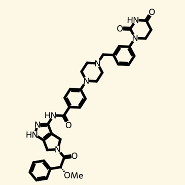 CO[C@@H](C(=O)N1Cc2[nH]nc(NC(=O)c3ccc(N4CCN(Cc5cccc(N6CCC(=O)NC6=O)c5)CC4)cc3)c2C1)c1ccccc1